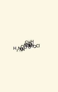 CC1CN(S(=O)(=O)c2cc3ccc(Cl)cc3[nH]2)CC(=O)N1Cc1ccc2c(N)ncnc2c1